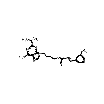 Cc1cccc(CNC(=O)OCCCCn2cnc3c(N)nc(N(C)C)nc32)c1